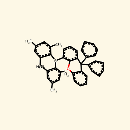 Cc1cc(C)c(B(c2cccc3c2Oc2ccccc2C3(c2ccccc2)c2ccccc2)c2c(C)cc(C)cc2C)c(C)c1